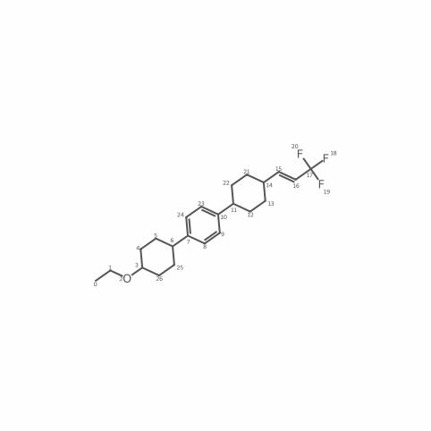 CCOC1CCC(c2ccc(C3CCC(C=CC(F)(F)F)CC3)cc2)CC1